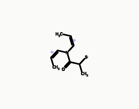 C/C=C\N(/C=C\C)C(=O)C(C)[S]